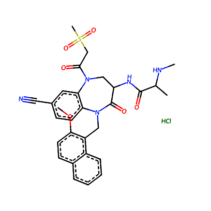 CNC(C)C(=O)NC1CN(C(=O)CS(C)(=O)=O)c2cc(C#N)ccc2N(Cc2c(OC)ccc3ccccc23)C1=O.Cl